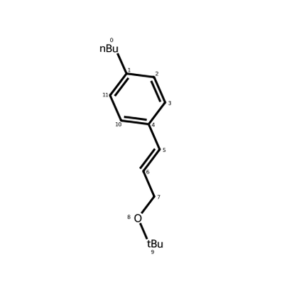 CCCCc1ccc(C=CCOC(C)(C)C)cc1